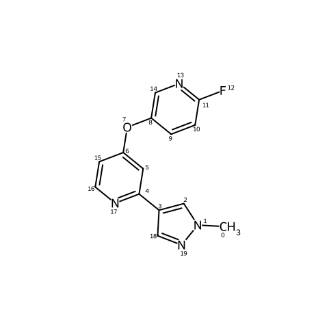 Cn1cc(-c2cc(Oc3ccc(F)nc3)ccn2)cn1